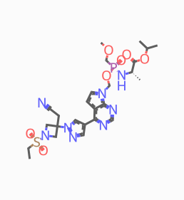 CCS(=O)(=O)N1CC(CC#N)(n2cc(-c3ncnc4c3ccn4COP(=O)(COC)N[C@@H](C)C(=O)OC(C)C)cn2)C1